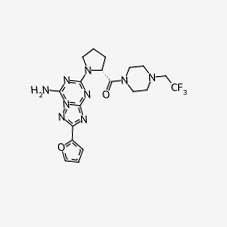 Nc1nc(N2CCC[C@@H]2C(=O)N2CCN(CC(F)(F)F)CC2)nc2nc(-c3ccco3)nn12